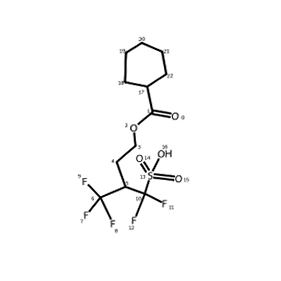 O=C(OCCC(C(F)(F)F)C(F)(F)S(=O)(=O)O)C1CCCCC1